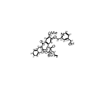 C=CCOC(=O)N1c2cc(OCc3cc(CO)ccn3)c(OC)cc2C(=O)N2Cc3ccccc3C[C@H]2C1O[Si](C)(C)C(C)(C)C